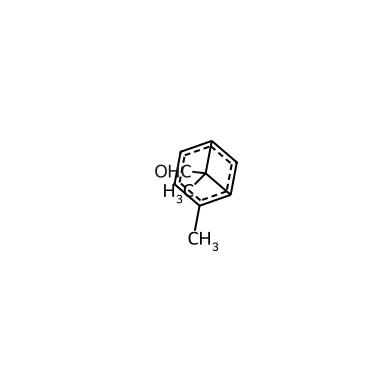 Cc1ccc2cc1C2(C)C=O